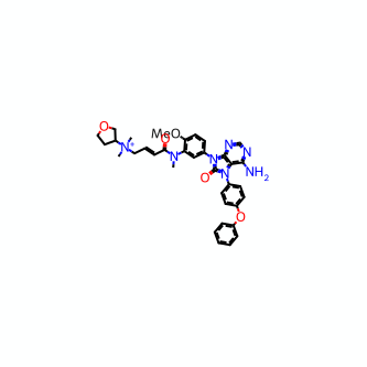 COc1ccc(-n2c(=O)n(-c3ccc(Oc4ccccc4)cc3)c3c(N)ncnc32)cc1N(C)C(=O)/C=C/C[N+](C)(C)C1CCOC1